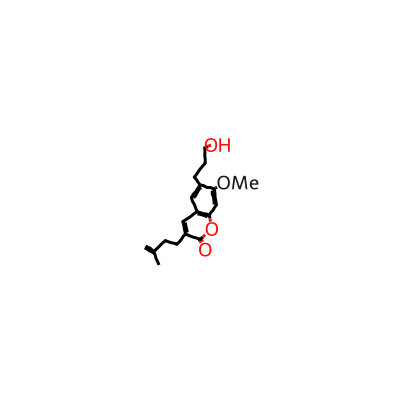 C=C(C)CCc1cc2cc(CCCO)c(OC)cc2oc1=O